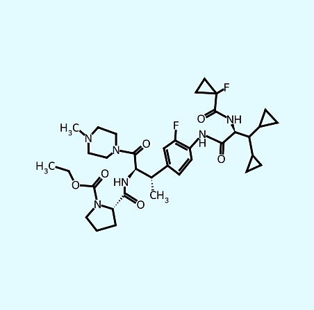 CCOC(=O)N1CCC[C@H]1C(=O)N[C@@H](C(=O)N1CCN(C)CC1)[C@@H](C)c1ccc(NC(=O)[C@@H](NC(=O)C2(F)CC2)C(C2CC2)C2CC2)c(F)c1